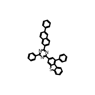 c1ccc(-c2ccc3cc(-c4nc(-c5ccccc5)nc(-c5cc(-c6ccccc6)c6c(c5)sc5ccccc56)n4)ccc3c2)cc1